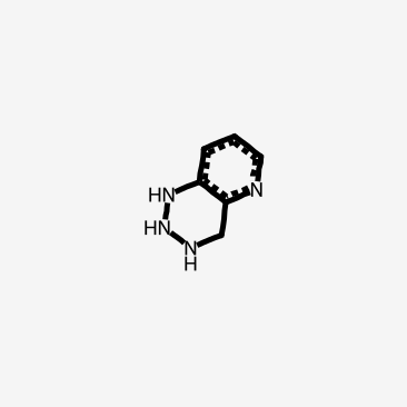 c1cnc2c(c1)NNNC2